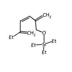 C=C(/C=C\C(=C)CO[Si](CC)(CC)CC)CC